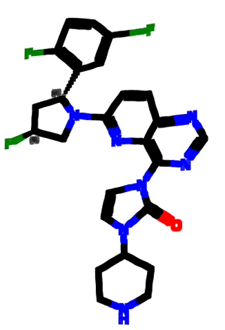 O=c1n(-c2ncnc3ccc(N4C[C@@H](F)C[C@@H]4c4cc(F)ccc4F)nc23)ccn1C1CCNCC1